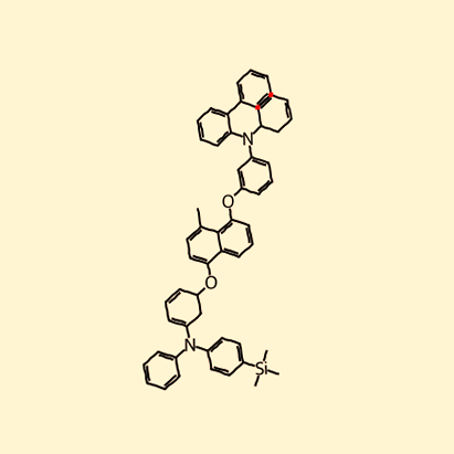 Cc1ccc(OC2C=CC=C(N(c3ccccc3)c3ccc([Si](C)(C)C)cc3)C2)c2cccc(Oc3cccc(N(c4ccccc4-c4ccccc4)C4C=CC=CC4)c3)c12